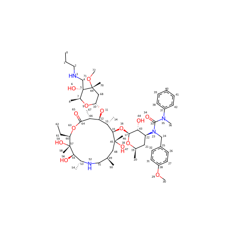 CCCNC[C@]1(O)[C@H](C)O[C@@H](O[C@H]2[C@H](C)[C@@H](O[C@@H]3O[C@H](C)C[C@H](N(Cc4ccc(OC)cc4)C(=O)N(C)c4ccccc4)[C@H]3O)[C@](C)(O)C[C@@H](C)CN[C@H](C)[C@@H](O)[C@](C)(O)[C@@H](CC)OC(=O)[C@@H]2C)C[C@@]1(C)OC